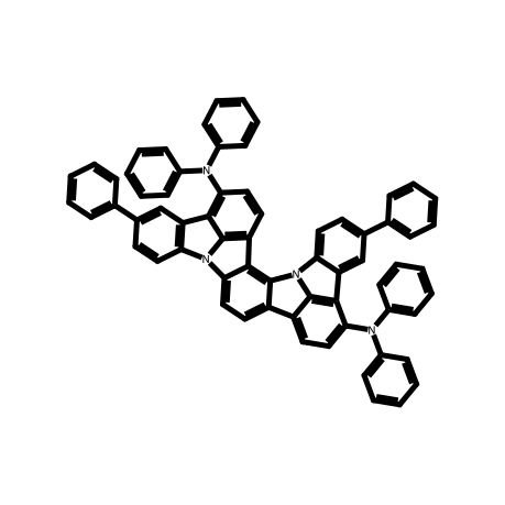 c1ccc(-c2ccc3c(c2)c2c(N(c4ccccc4)c4ccccc4)ccc4c5c(ccc6c7ccc(N(c8ccccc8)c8ccccc8)c8c9cc(-c%10ccccc%10)ccc9n(c78)c65)n3c42)cc1